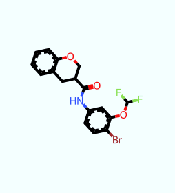 O=C(Nc1ccc(Br)c(OC(F)F)c1)C1COc2ccccc2C1